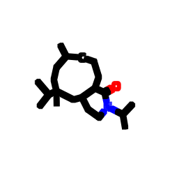 CC1CCCC2C(=O)N(C(C)C)CCC2CC(C)(C(C)C)CC1